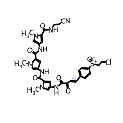 Cn1cc(NC(=O)c2cc(NC(=O)c3cc(NC(=O)C(=O)/C=C/c4ccc([S+]([O-])CCCl)cc4)cn3C)cn2C)cc1C(=O)NCCC#N